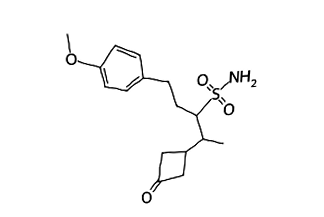 COc1ccc(CCC(C(C)C2CC(=O)C2)S(N)(=O)=O)cc1